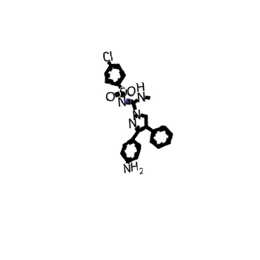 CN/C(=N\S(=O)(=O)c1ccc(Cl)cc1)N1CC(c2ccccc2)C(c2ccc(N)cc2)=N1